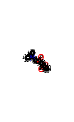 O=C1c2cc(-n3c4ccccc4c4ccccc43)ccc2-c2cc3c(=O)c4ccccc4oc3cc21